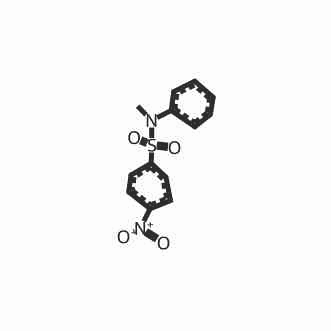 CN(c1ccccc1)S(=O)(=O)c1ccc([N+](=O)[O-])cc1